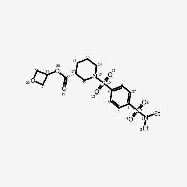 CCN(CC)S(=O)(=O)c1ccc(S(=O)(=O)N2CCC[C@@H](C(=O)OC3COC3)C2)cc1